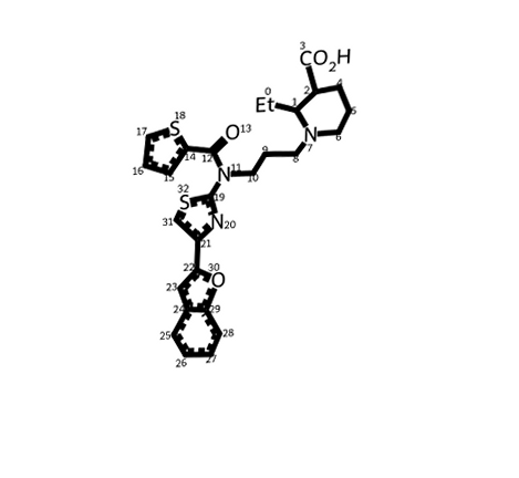 CCC1C(C(=O)O)CCCN1CCCN(C(=O)c1cccs1)c1nc(-c2cc3ccccc3o2)cs1